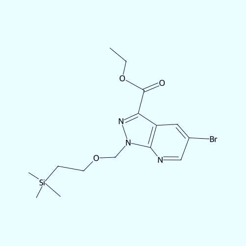 CCOC(=O)c1nn(COCC[Si](C)(C)C)c2ncc(Br)cc12